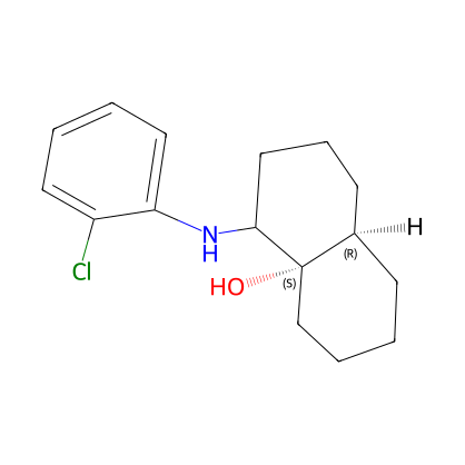 O[C@@]12CCCC[C@@H]1CCCC2Nc1ccccc1Cl